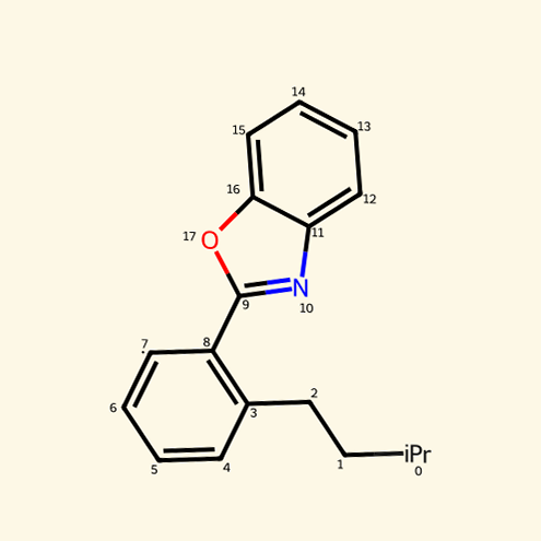 CC(C)CCc1ccc[c]c1-c1nc2ccccc2o1